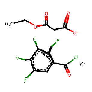 CCOC(=O)CC(=O)[O-].O=C(Cl)c1cc(F)c(F)c(F)c1F.[K+]